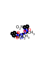 CS(=O)(=O)O.C[C@H](CNCCNC[C@@H](C)N1C(=O)c2ccc3c4c(ccc(c24)C1=O)CC3)N1C(=O)c2cccc3cc([N+](=O)[O-])cc(c23)C1=O